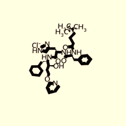 C[N+](C)(C)CCCC(=O)N[C@@H](Cc1ccccc1)C(=O)N[C@@H](Cc1c[nH]cn1)C(=O)N[C@@H](CC1CCCCC1)[C@@H](O)CCOc1ccccn1.[Cl-]